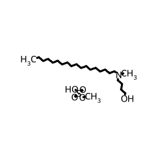 CCCCCCCCCCCCCCCCCCN(C)CCCCO.COS(=O)(=O)O